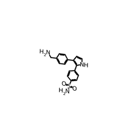 NCc1ccc(-c2cc[nH]c2-c2ccc(S(N)(=O)=O)cc2)cc1